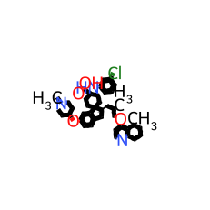 C[C@@H](COc1ccnc2c1[C@H](C)CCC2)C[C@H]1Cc2ccc(OC3CCN(C)CC3)cc2C12CCC(Nc1cccc(Cl)c1)(C(=O)O)CC2